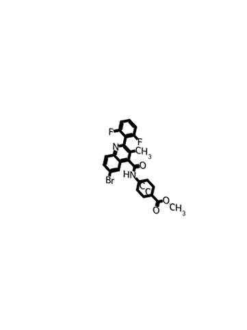 COC(=O)C12CCC(NC(=O)c3c(C)c(-c4c(F)cccc4F)nc4ccc(Br)cc34)(CC1)CC2